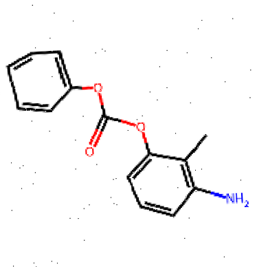 Cc1c(N)cccc1OC(=O)Oc1ccccc1